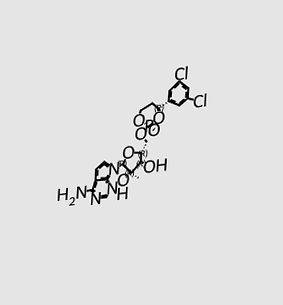 C[C@@]1(O)[C@H](O)[C@@H](COP2(=O)OCC[C@H](c3cc(Cl)cc(Cl)c3)O2)O[C@H]1n1ccc2c(N)ncnc21